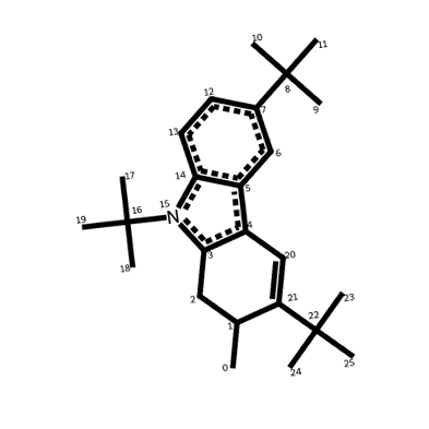 CC1Cc2c(c3cc(C(C)(C)C)ccc3n2C(C)(C)C)C=C1C(C)(C)C